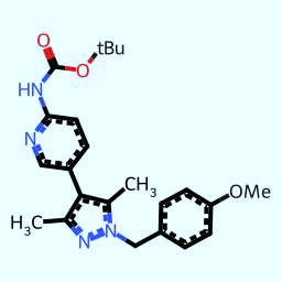 COc1ccc(Cn2nc(C)c(-c3ccc(NC(=O)OC(C)(C)C)nc3)c2C)cc1